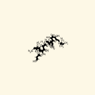 CCC(C)(C)OCC1OC(C(C)(CC)C(C)(CC)OCC2OC(C(C)(C)CC)C(OC(=O)CCS)C(O)C2O)C(O)C(O)C1O